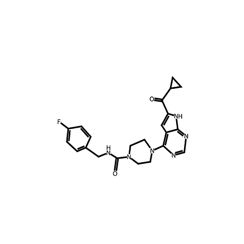 O=C(c1cc2c(N3CCN(C(=O)NCc4ccc(F)cc4)CC3)ncnc2[nH]1)C1CC1